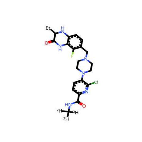 [2H]C([2H])([2H])NC(=O)c1ccc(N2CCN(Cc3ccc4c(c3F)NC(=O)C(CC)N4)CC2)c(Cl)n1